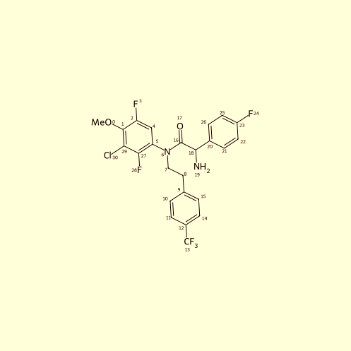 COc1c(F)cc(N(CCc2ccc(C(F)(F)F)cc2)C(=O)C(N)c2ccc(F)cc2)c(F)c1Cl